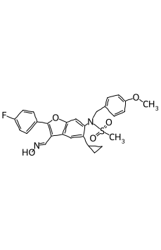 COc1ccc(CN(c2cc3oc(-c4ccc(F)cc4)c(C=NO)c3cc2C2CC2)S(C)(=O)=O)cc1